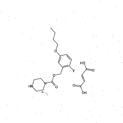 CCCCOc1ccc(F)c(COC(=O)N2CCNC[C@H]2C)c1.O=C(O)C=CC(=O)O